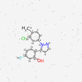 Cc1ccc(-n2nccc2-c2ccc(F)cc2O)cc1Cl